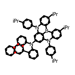 CC(C)c1ccc(N2c3ccc(C(C)C)cc3B3c4cc(C(C)C)ccc4N(c4ccc(C(C)C)cc4)c4cc(N(c5cccc(-c6ccccc6)c5)c5ccccc5-c5ccccc5)cc2c43)cc1